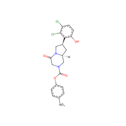 O=C(Oc1ccc([N+](=O)[O-])cc1)N1CC(=O)N2C[C@@H](c3c(O)ccc(Cl)c3Cl)C[C@H]2C1